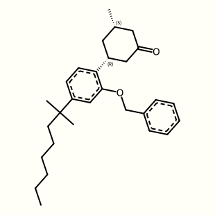 CCCCCCC(C)(C)c1ccc([C@H]2CC(=O)C[C@@H](C)C2)c(OCc2ccccc2)c1